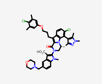 Cc1cc(OCCCc2c3n(c4c(-c5c(C)nn(C)c5C)c(Cl)ccc24)[C@H](C)CN(c2c(C(=O)O)c4cc(CN5CCOCC5)ccc4n2C)C3=O)cc(C)c1Cl